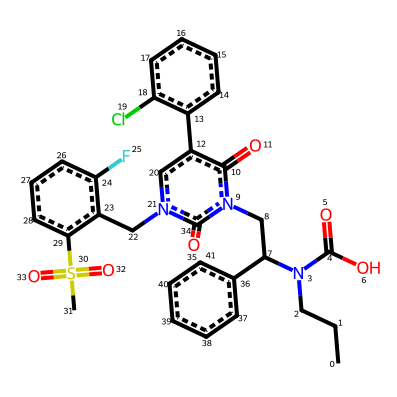 CCCN(C(=O)O)C(Cn1c(=O)c(-c2ccccc2Cl)cn(Cc2c(F)cccc2S(C)(=O)=O)c1=O)c1ccccc1